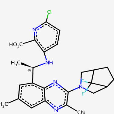 Cc1cc([C@@H](C)Nc2ccc(Cl)nc2C(=O)O)c2nc(N3CC4CCC(C3)C4(F)F)c(C#N)nc2c1